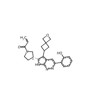 C=CC(=O)N1CC[C@@H](c2[nH]c3nnc(-c4ccccc4O)cc3c2C2CC3(COC3)C2)C1